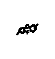 Cc1ccc(OC2CCCN(C)C2)c(F)c1